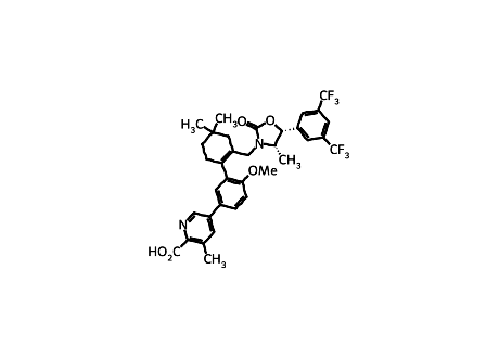 COc1ccc(-c2cnc(C(=O)O)c(C)c2)cc1C1=C(CN2C(=O)O[C@H](c3cc(C(F)(F)F)cc(C(F)(F)F)c3)[C@@H]2C)CC(C)(C)CC1